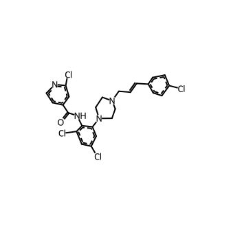 O=C(Nc1c(Cl)cc(Cl)cc1N1CCN(CC=Cc2ccc(Cl)cc2)CC1)c1ccnc(Cl)c1